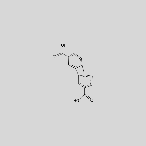 O=C(O)c1ccc2c(c1)-c1cc(C(=O)O)ccc1-2